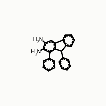 Nc1cc2c(c(-c3ccccc3)c1N)C(c1ccccc1)c1ccccc1-2